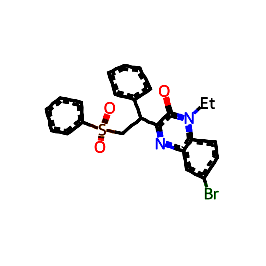 CCn1c(=O)c(C(CS(=O)(=O)c2ccccc2)c2ccccc2)nc2cc(Br)ccc21